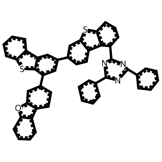 c1ccc(-c2nc(-c3ccccc3)nc(-c3cccc4sc5cc(-c6cc(-c7ccc8c(c7)oc7ccccc78)c7sc8ccccc8c7c6)ccc5c34)n2)cc1